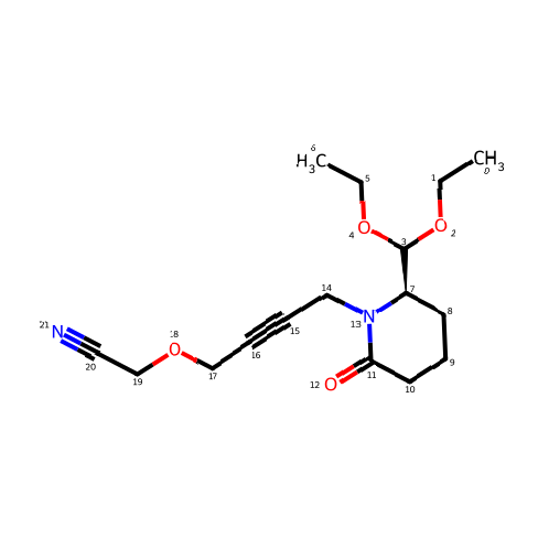 CCOC(OCC)[C@H]1CCCC(=O)N1CC#CCOCC#N